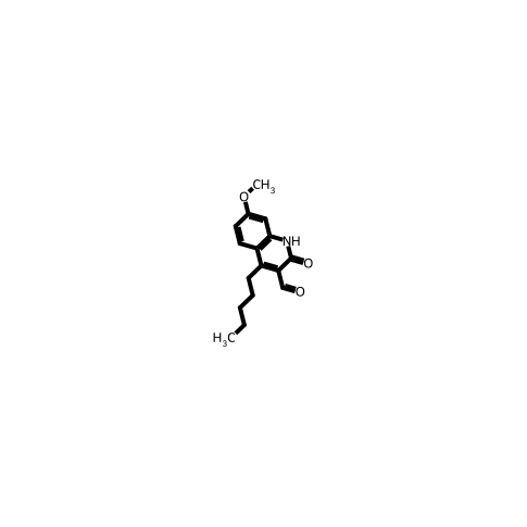 CCCCCc1c(C=O)c(=O)[nH]c2cc(OC)ccc12